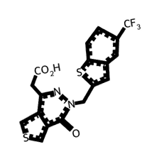 O=C(O)Cc1nn(Cc2cc3cc(C(F)(F)F)ccc3s2)c(=O)c2cscc12